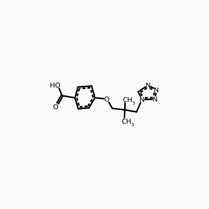 CC(C)(COc1ccc(C(=O)O)cc1)Cn1cnnn1